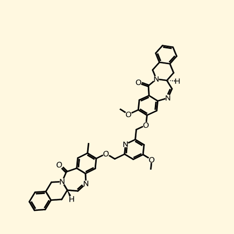 COc1cc(COc2cc3c(cc2C)C(=O)N2Cc4ccccc4C[C@H]2C=N3)nc(COc2cc3c(cc2OC)C(=O)N2Cc4ccccc4C[C@H]2C=N3)c1